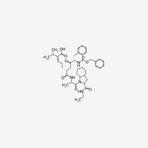 CCNC(=O)C1CC2CCCCC2N1C(=O)C(C)NC(=O)[C@H](CCC=C(C(=O)O)C(C)C)CC(=O)[C@H](Cc1ccccc1)NC(=O)OCc1ccccc1